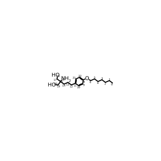 CCCCCCCOc1ccc(CCCC(N)(CO)CO)cc1